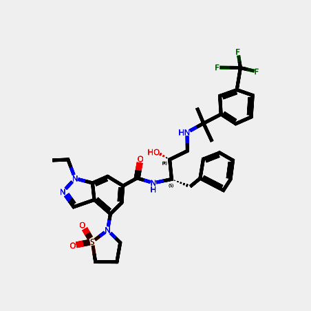 CCn1ncc2c(N3CCCS3(=O)=O)cc(C(=O)N[C@@H](Cc3ccccc3)[C@H](O)CNC(C)(C)c3cccc(C(F)(F)F)c3)cc21